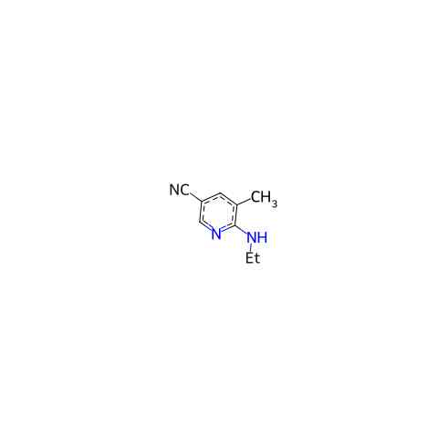 CCNc1ncc(C#N)cc1C